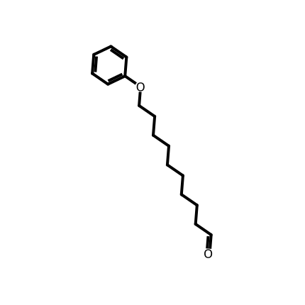 O=CCCCCCCCCCOc1ccccc1